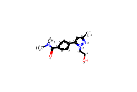 CN(C)C(=O)c1ccc(-c2cc(C(F)(F)F)nn2CCO)cc1